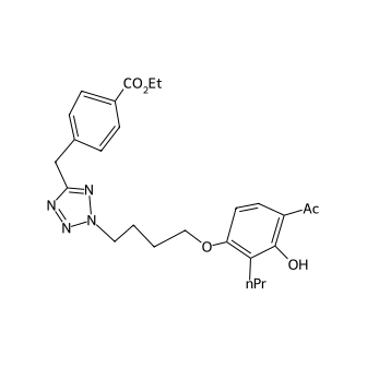 CCCc1c(OCCCCn2nnc(Cc3ccc(C(=O)OCC)cc3)n2)ccc(C(C)=O)c1O